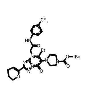 CCc1c(N2CCN(C(=O)OC(C)(C)C)CC2)c(=O)n2nc(C3=CCCCO3)nc2n1CC(=O)Nc1ccc(C(F)(F)F)cc1